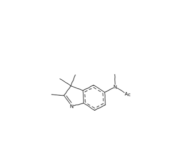 CC(=O)N(C)c1ccc2c(c1)C(C)(C)C(C)=N2